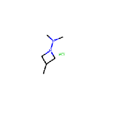 CC1CN(N(C)C)C1.Cl